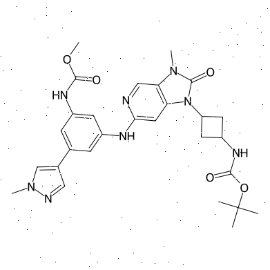 COC(=O)Nc1cc(Nc2cc3c(cn2)n(C)c(=O)n3C2CC(NC(=O)OC(C)(C)C)C2)cc(-c2cnn(C)c2)c1